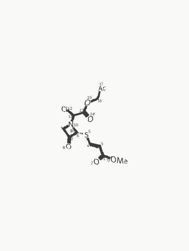 COC(=O)C=CS[C@@H]1C(=O)CN1C(Cl)C(=O)OCC(C)=O